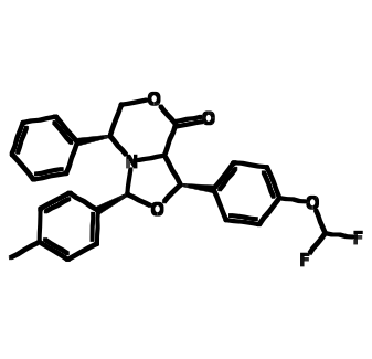 Cc1ccc([C@@H]2O[C@H](c3ccc(OC(F)F)cc3)C3C(=O)OC[C@H](c4ccccc4)N32)cc1